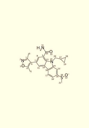 Cc1noc(C)c1-c1cc(C(N)=O)c2c(c1)c1ccc([S+](C)[O-])cc1n2CC1CC1